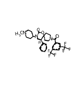 CN1CCC(N2C[C@H](c3ccccc3)C3(CCN(C(=O)c4cc(C(F)(F)F)cc(C(F)(F)F)c4)CC3)OC2=O)CC1